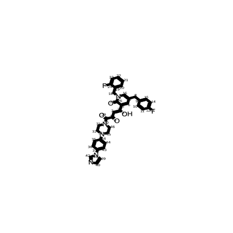 O=C(C=C(O)c1cc(Cc2ccc(F)cc2)cn(Cc2ccccc2F)c1=O)C(=O)N1CCN(c2ccc(-n3ccnc3)cc2)CC1